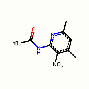 CCCCC(=O)Nc1nc(C)cc(C)c1[N+](=O)[O-]